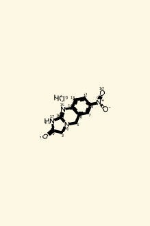 Cl.O=C1CN2Cc3cc([N+](=O)[O-])ccc3N=C2N1